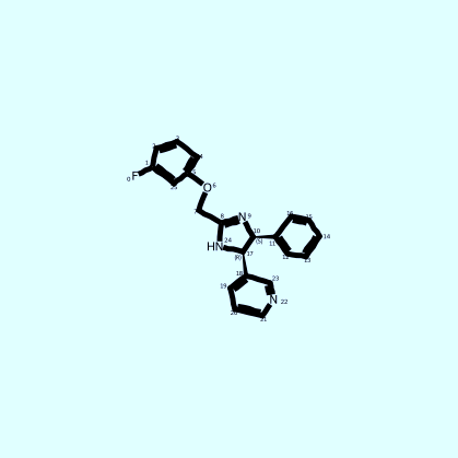 Fc1cccc(OCC2=N[C@@H](c3ccccc3)[C@@H](c3cccnc3)N2)c1